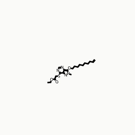 C=CCCCCCCCCOc1c2ncnc(SCC(=O)OCC)c2nn1C